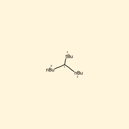 [CH2]CCCC(CCCC)C(C)(C)C